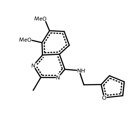 COc1ccc2c(NCc3ccco3)nc(C)nc2c1OC